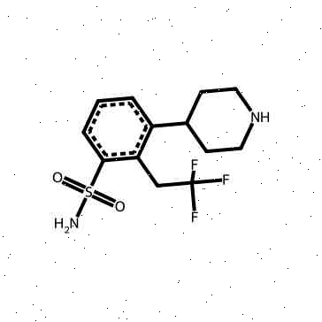 NS(=O)(=O)c1cccc(C2CCNCC2)c1CC(F)(F)F